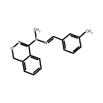 Cc1cccc(C=NN(C)C2=NOCc3ccccc32)c1